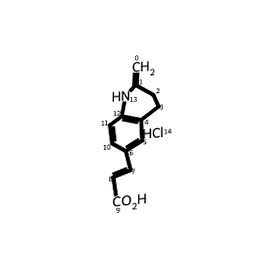 C=C1CCc2cc(C=CC(=O)O)ccc2N1.Cl